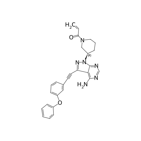 C=CC(=O)N1CCC[C@@H](n2nc(C#Cc3cccc(Oc4ccccc4)c3)c3c(N)ncnc32)C1